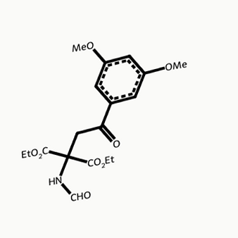 CCOC(=O)C(CC(=O)c1cc(OC)cc(OC)c1)(NC=O)C(=O)OCC